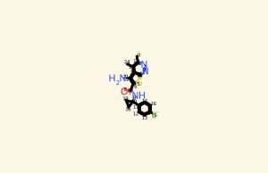 Cc1nnc2sc(C(=O)NC3(c4ccc(F)cc4)CC3)c(N)c2c1C